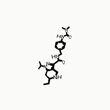 CCC1Cc2c(c(C(=O)NCc3ccc(NC(=O)N(C)C)cc3)nn2C(C)C)CN1